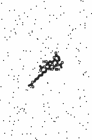 CC(=O)OCC=CC=CC=CC(CC(OP(=O)(O)O)C(C)(O)C=CC1OC(=O)C=CC1OC(C)=O)OC(C)=O